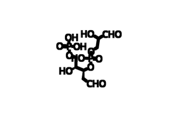 O=CC[C@H](OP(=O)(O)OCC(O)C=O)[C@H](O)COP(=O)(O)O